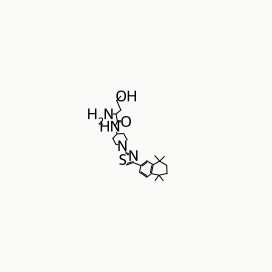 CC1(C)CCC(C)(C)c2cc(-c3csc(N4CCC(NC(=O)C(N)CCO)CC4)n3)ccc21